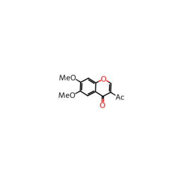 COc1cc2occ(C(C)=O)c(=O)c2cc1OC